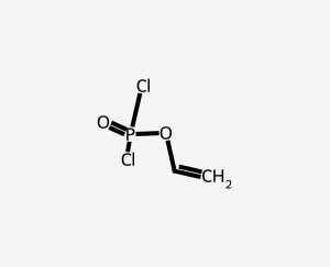 C=COP(=O)(Cl)Cl